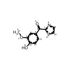 COc1cc(C(=O)c2nccs2)ccc1O